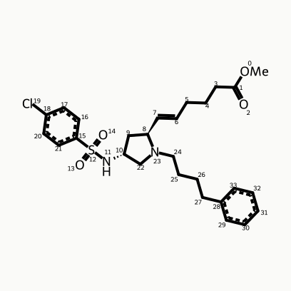 COC(=O)CCCC=C[C@@H]1C[C@@H](NS(=O)(=O)c2ccc(Cl)cc2)CN1CCCCc1ccccc1